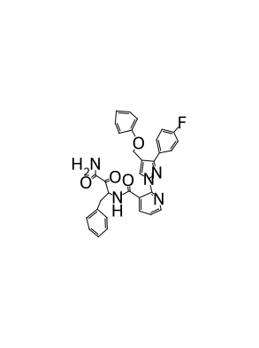 NC(=O)C(=O)C(Cc1ccccc1)NC(=O)c1cccnc1-n1cc(COc2ccccc2)c(-c2ccc(F)cc2)n1